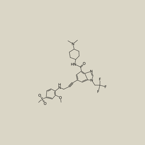 COc1cc(S(C)(=O)=O)ccc1NCC#Cc1cc(C(=O)NC2CCC(N(C)C)CC2)c2ncn(CC(F)(F)F)c2c1